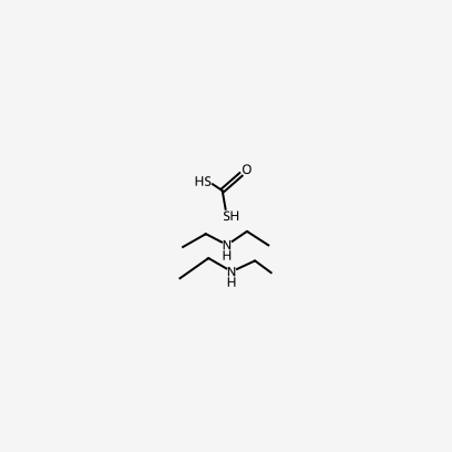 CCNCC.CCNCC.O=C(S)S